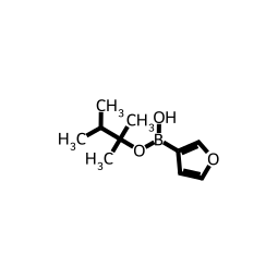 CC(C)C(C)(C)OB(O)c1ccoc1